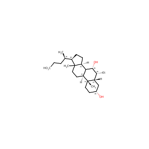 CC[C@H]1[C@@H](O)C2[C@@H]3CC[C@H]([C@H](C)CCC(=O)O)C3(C)CC[C@@H]2[C@@]2(C)CC[C@@H](O)C[C@@H]12